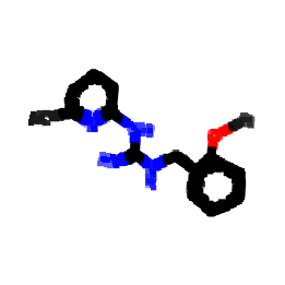 CCOc1ccccc1CNC(=N)Nc1cccc(C#N)n1